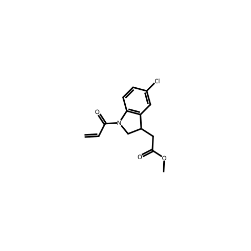 C=CC(=O)N1CC(CC(=O)OC)c2cc(Cl)ccc21